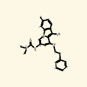 Cc1ccc2c(C#N)c3c(OCCc4ccccc4)cc(OC(=O)N(C)C)cn3c2c1